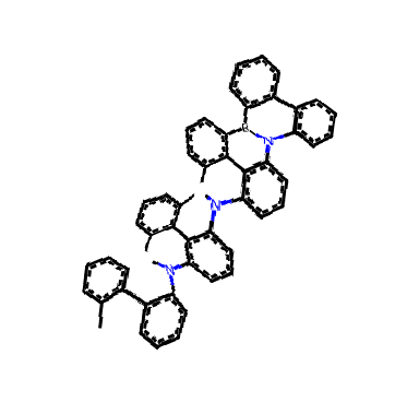 Cc1ccccc1-c1ccccc1N(C)c1cccc(N(C)c2cccc3c2-c2c(C)cccc2B2c4ccccc4-c4ccccc4N23)c1-c1c(C)cccc1C